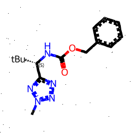 Cn1nnc([C@@H](NC(=O)OCc2ccccc2)C(C)(C)C)n1